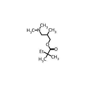 CCC(C)(C)C(=O)OCC(C)CN(C)C